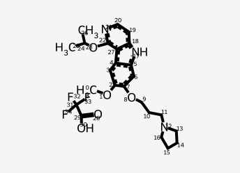 COc1cc2c(cc1OCCCN1CCCC1)[nH]c1ccnc(OC(C)C)c12.O=C(O)C(F)(F)F